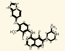 Cc1c(Oc2ccn3ncnc3c2)ccc(Nc2ncnc3cnc(N4CCNC(C)C4)c(F)c23)c1F